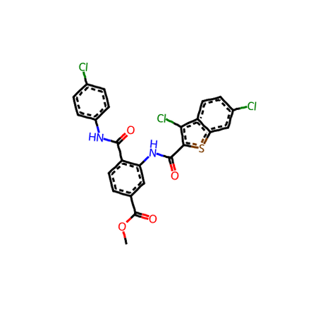 COC(=O)c1ccc(C(=O)Nc2ccc(Cl)cc2)c(NC(=O)c2sc3cc(Cl)ccc3c2Cl)c1